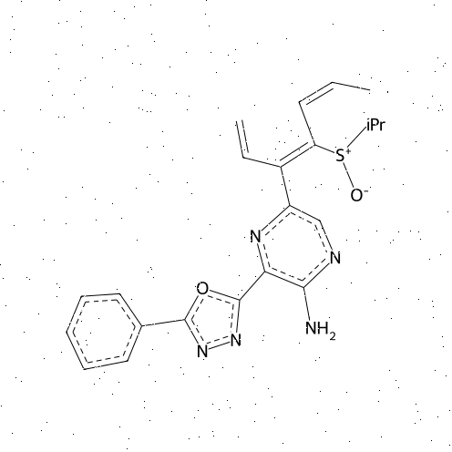 C=C/C(=C(\C=C/C)[S+]([O-])C(C)C)c1cnc(N)c(-c2nnc(-c3ccccc3)o2)n1